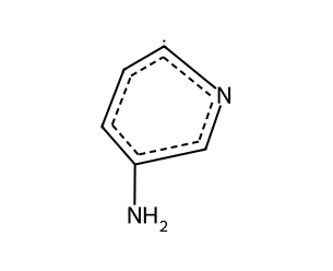 Nc1cc[c]nc1